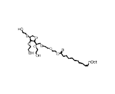 CCCCCCCC/C=C\CCCCCCCCC(=O)OCCOCCOCC(OCCO)C1OCC(OCCO)C1OCCO